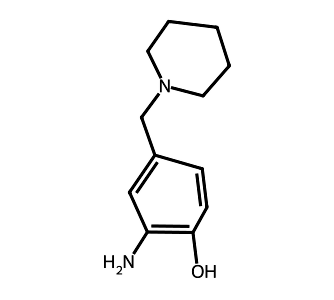 Nc1cc(CN2CCCCC2)ccc1O